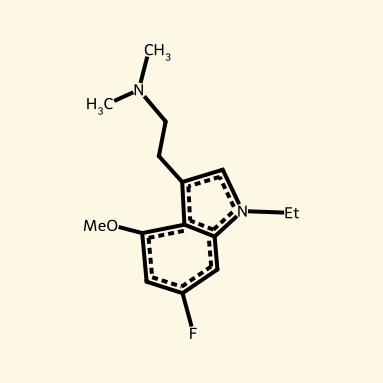 CCn1cc(CCN(C)C)c2c(OC)cc(F)cc21